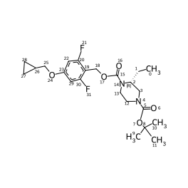 CC[C@@H]1CN(C(=O)OC(C)(C)C)CCN1C(=O)OCc1c(F)cc(OCC2CC2)cc1F